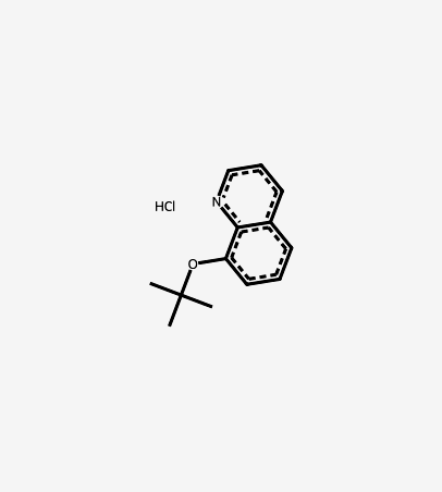 CC(C)(C)Oc1cccc2cccnc12.Cl